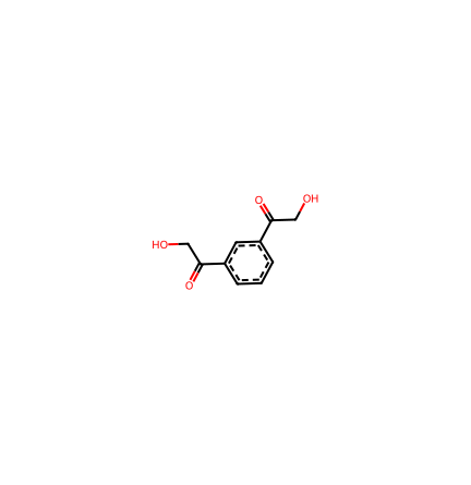 O=C(CO)c1cccc(C(=O)CO)c1